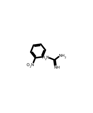 N=C(N)N.O=[N+]([O-])c1ccccc1